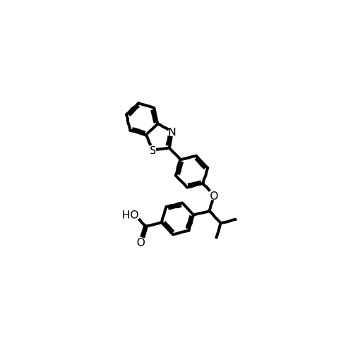 CC(C)C(Oc1ccc(-c2nc3ccccc3s2)cc1)c1ccc(C(=O)O)cc1